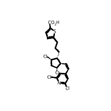 O=C(O)c1ccc(CCC[C@@H]2[C@@H](/C=C\c3cc(Cl)nc(Cl)c3)[C@H](Cl)C[C@H]2Cl)s1